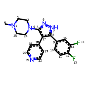 CN1CCN(c2n[nH]c(-c3ccc(F)c(F)c3)c2-c2ccncc2)CC1